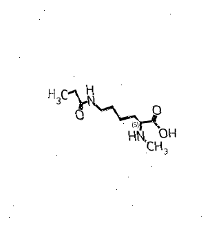 CCC(=O)NCCCC[C@H](NC)C(=O)O